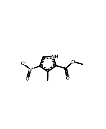 COC(=O)c1[nH]cc([N+](=O)[O-])c1C